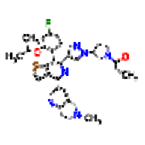 C=CC(=O)N1CCC(n2cc(-c3nc(-c4cnc5c(c4)CN(C)CC5)c4ccsc4c3-c3ccc(F)cc3OC(C)C)cn2)C1